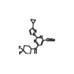 COc1cc(NC2CCC(F)(F)CC2)nc(-n2ccc(C3CC3)n2)n1